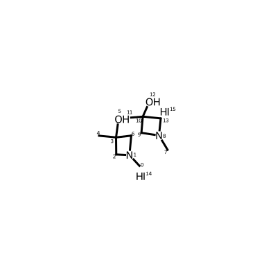 CN1CC(C)(O)C1.CN1CC(C)(O)C1.I.I